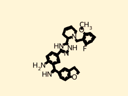 COc1cccc(F)c1CN1CC=CCC1C1NN=C(c2ccc(N)c(C(=N)c3ccc4c(c3)CCO4)c2)N1